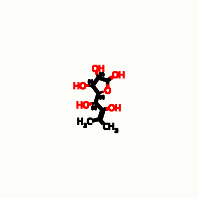 CC(C)=C(O)[C@@H](O)[C@H]1OC(O)[C@H](O)[C@@H]1O